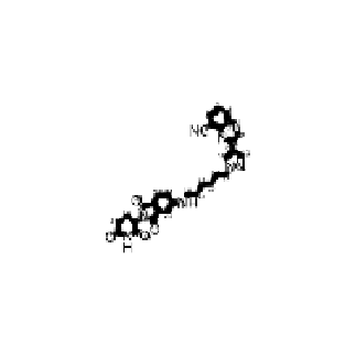 N#Cc1cccc2ncc(-c3cnn(CCCCCCNc4ccc5c(c4)C(=O)N(C4CCC(=O)NC4=O)C5=O)c3)nc12